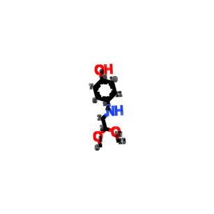 COC(CNc1ccc(O)cc1)OC